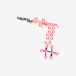 O.O.O.O.O.O.O.O.O.O.O.O.O=P([O-])([O-])P(=O)([O-])[O-].[Na+].[Na+].[Na+].[Na+]